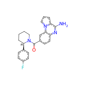 Nc1nc2ccc(C(=O)N3CCCC[C@@H]3c3ccc(F)cc3)cc2n2cccc12